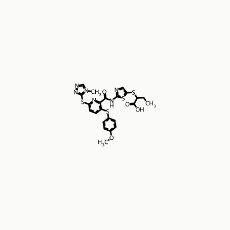 CCC(Sc1cnc(NC(=O)c2nc(Sc3nncn3C)ccc2Sc2ccc(OC)cc2)s1)C(=O)O